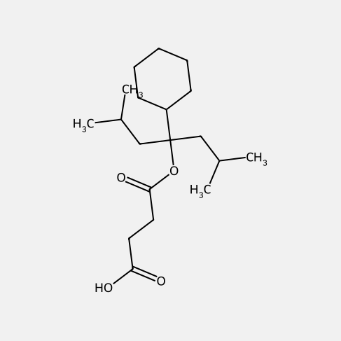 CC(C)CC(CC(C)C)(OC(=O)CCC(=O)O)C1CCCCC1